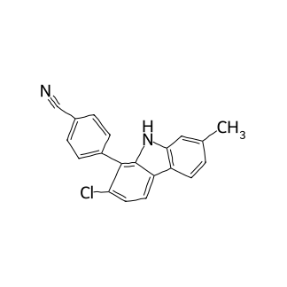 Cc1ccc2c(c1)[nH]c1c(-c3ccc(C#N)cc3)c(Cl)ccc12